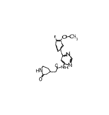 COc1cc(-c2cc(NC(=O)CC3CCNC(=O)C3)ncn2)ccc1F